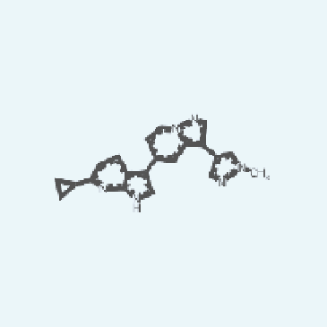 Cn1cc(-c2cnn3ccc(-c4c[nH]c5nc(C6CC6)ccc45)cc23)cn1